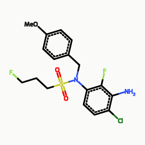 COc1ccc(CN(c2ccc(Cl)c(N)c2F)S(=O)(=O)CCCF)cc1